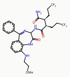 COCCNc1cccc2c1NC(=O)C(NC(=O)[C@H](CCC(F)(F)F)[C@H](CCC(F)(F)F)C(N)=O)N=C2c1ccccc1